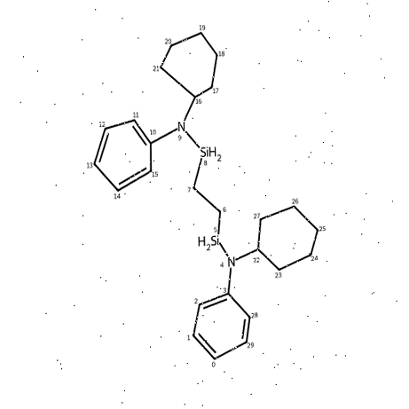 c1ccc(N([SiH2]CC[SiH2]N(c2ccccc2)C2CCCCC2)C2CCCCC2)cc1